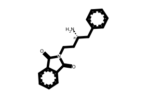 N[C@@H](CCN1C(=O)c2ccccc2C1=O)Cc1ccccc1